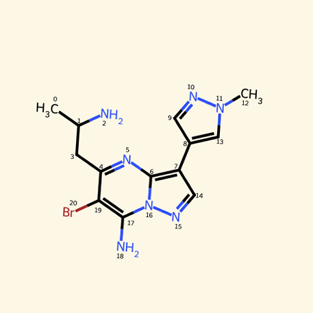 CC(N)Cc1nc2c(-c3cnn(C)c3)cnn2c(N)c1Br